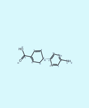 Nc1cnc([C@H]2C=CC(C(=O)O)=CC2)cn1